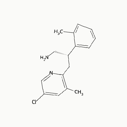 Cc1ccccc1[C@@H](CN)Cc1ncc(Cl)cc1C